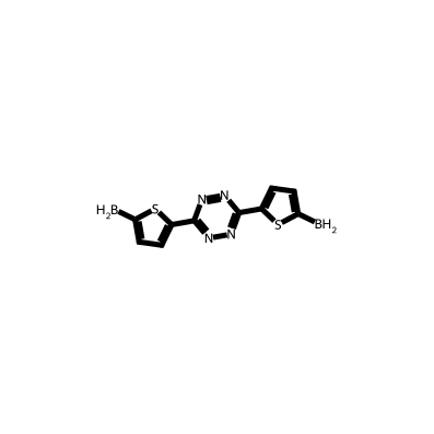 Bc1ccc(-c2nnc(-c3ccc(B)s3)nn2)s1